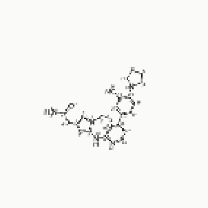 Cn1nc(OC(N)=O)cc1Nc1nccc(-c2ccc(N3CCCC3)c(C#N)c2)n1